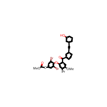 COC(=O)Cc1cc(Br)c(Oc2cc(C(C)C)c(OC)cc2C(=O)c2cccc(C#Cc3cccc(O)c3)c2)c(Br)c1